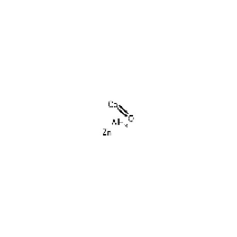 [AlH3].[O]=[Co].[Zn]